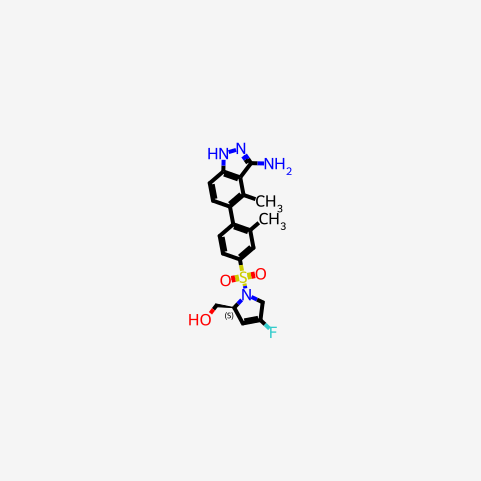 Cc1cc(S(=O)(=O)N2CC(F)=C[C@H]2CO)ccc1-c1ccc2[nH]nc(N)c2c1C